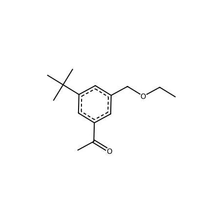 CCOCc1cc(C(C)=O)cc(C(C)(C)C)c1